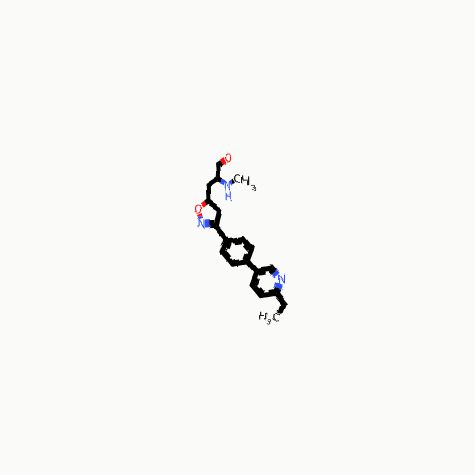 CCc1ccc(-c2ccc(C3=NOC(CC(C=O)NC)C3)cc2)cn1